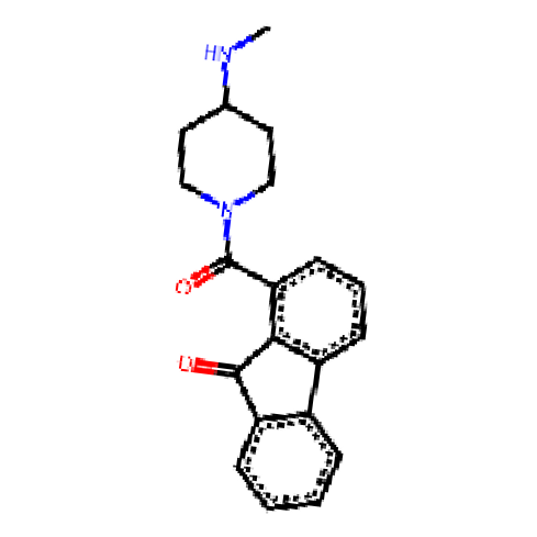 CNC1CCN(C(=O)c2cccc3c2C(=O)c2ccccc2-3)CC1